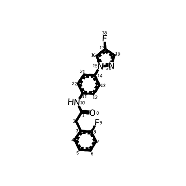 O=C(Cc1ccccc1F)Nc1ccc(-n2cc(F)cn2)cc1